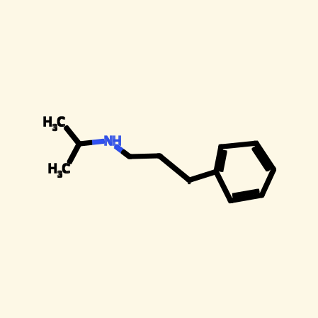 CC(C)NCC[CH]c1ccccc1